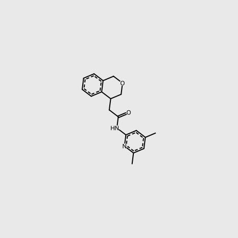 Cc1cc(C)nc(NC(=O)CC2COCc3ccccc32)c1